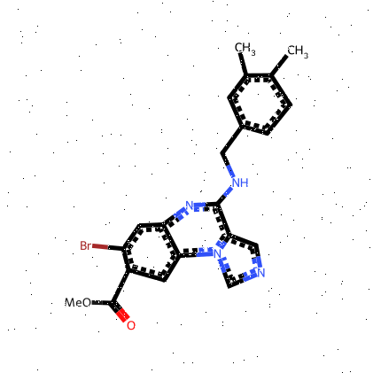 COC(=O)c1cc2c(cc1Br)nc(NCc1ccc(C)c(C)c1)c1cncn12